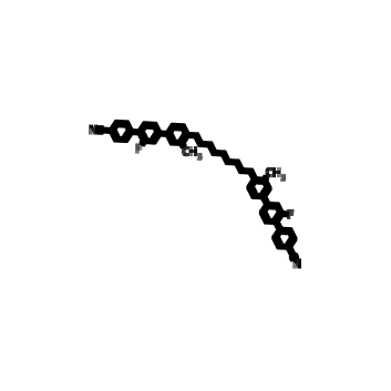 Cc1cc(-c2ccc(-c3ccc(C#N)cc3)c(F)c2)ccc1CCCCCCCCCc1ccc(-c2ccc(-c3ccc(C#N)cc3)c(F)c2)cc1C